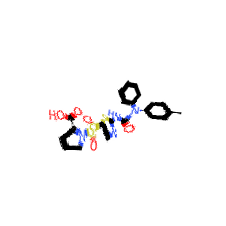 C[C@H]1CC[C@H](N(C(=O)Nc2ncc(S(=O)(=O)N3CCC[C@@H]3C(=O)O)s2)C2CCCCC2)CC1